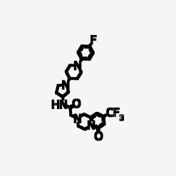 O=C(CN1CCn2c(cc(C(F)(F)F)cc2=O)C1)NC1CCN(C2CCN(c3ccc(F)cc3)CC2)C1